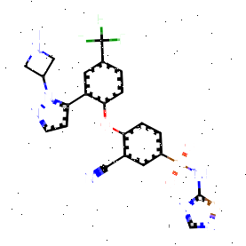 N#Cc1cc(S(=O)(=O)Nc2ncns2)ccc1Oc1ccc(C(F)(F)F)cc1-c1ccnn1C1CNC1